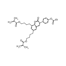 C=C(C)C(=O)OCCCCc1cc(CCCCOC(=O)C(=C)C)c2oc(=O)c(-c3ccc(OC(=O)CC)cc3)cc2c1